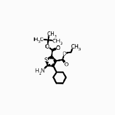 CCOC(=O)c1c(C(=O)OC(C)(C)C)sc(N)c1C1CCCCC1